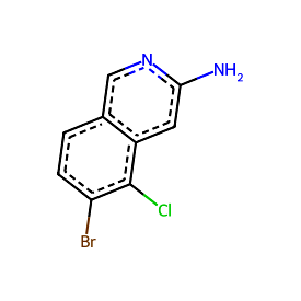 Nc1cc2c(Cl)c(Br)ccc2cn1